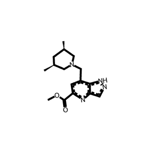 COC(=O)c1cc(CN2C[C@H](C)C[C@H](C)C2)c2[nH]ncc2n1